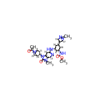 COC(=O)Nc1cc(Nc2cc3c(cn2)n(C)c(=O)n3C2CC3CC2CN3C(C)=O)cc(-c2cnn(C)c2)c1